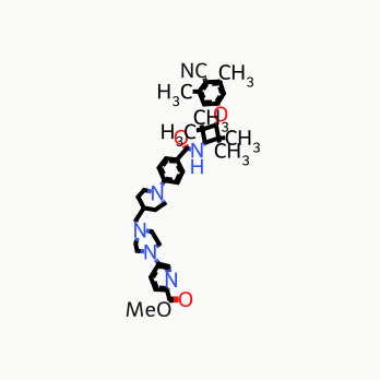 COC(=O)c1ccc(N2CCN(CC3CCN(c4ccc(C(=O)NC5C(C)(C)C(Oc6cc(C)c(C#N)c(C)c6)C5(C)C)cc4)CC3)CC2)cn1